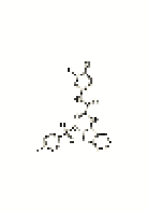 Cc1ccc(S(=O)(=O)O[C@H]2Cc3ccccc3[C@@H]2NC(=O)C(=O)Nc2ccc(Cl)c(F)c2)cc1